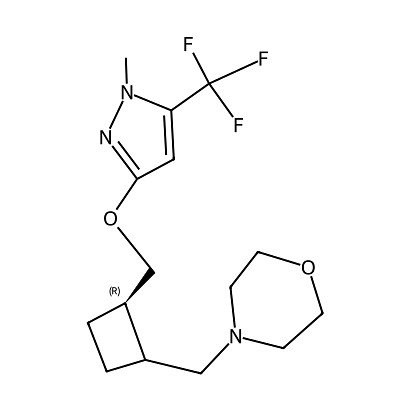 Cn1nc(OC[C@@H]2CCC2CN2CCOCC2)cc1C(F)(F)F